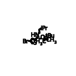 CC(C)CCN[C@H](CO[Si](C)(C)C(C)(C)C)c1cc(Br)cs1